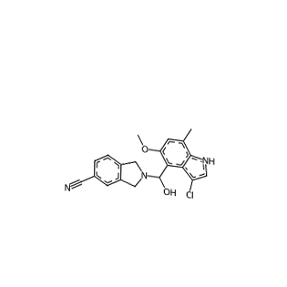 COc1cc(C)c2[nH]cc(Cl)c2c1C(O)N1Cc2ccc(C#N)cc2C1